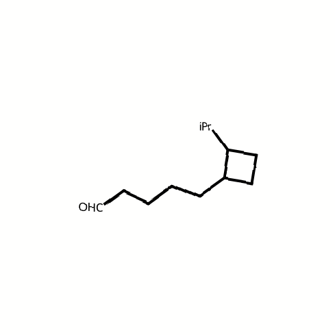 CC(C)C1CCC1CCCCC=O